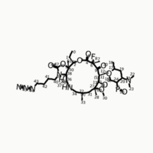 CC[C@H]1OC(=O)[C@](C)(F)C(=O)[C@@H](C)[C@@H](O[C@@H]2OC(C)CC(N(C)C)C2P=O)[C@](C)(OC)C[C@@H](C)CN[C@H](C)[C@H]2N(CCCCN=[N+]=[N-])C(=O)O[C@]12C